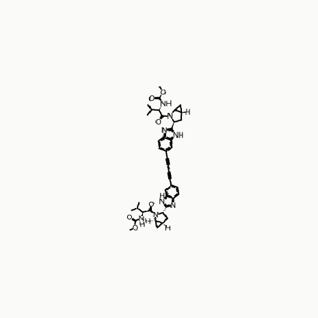 COC(=O)N[C@H](C(=O)N1C2C[C@@H]2C[C@H]1c1nc2ccc(C#CC#Cc3ccc4nc([C@@H]5C[C@H]6C[C@H]6N5C(=O)[C@@H](NC(=O)OC)C(C)C)[nH]c4c3)cc2[nH]1)C(C)C